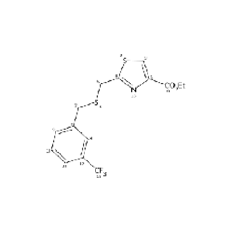 CCOC(=O)c1csc(CSCc2cccc(C(F)(F)F)c2)n1